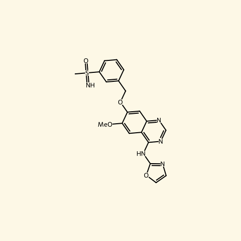 COc1cc2c(Nc3ncco3)ncnc2cc1OCc1cccc(S(C)(=N)=O)c1